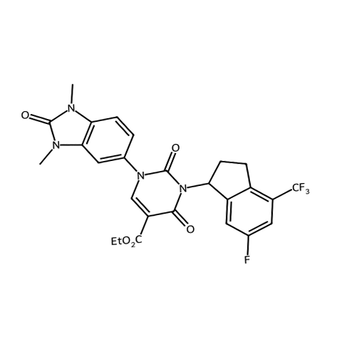 CCOC(=O)c1cn(-c2ccc3c(c2)n(C)c(=O)n3C)c(=O)n(C2CCc3c2cc(F)cc3C(F)(F)F)c1=O